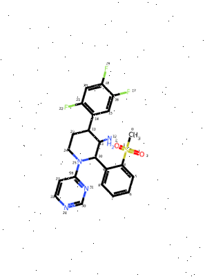 CS(=O)(=O)c1ccccc1C1C(N)C(c2cc(F)c(F)cc2F)CCN1c1ccncn1